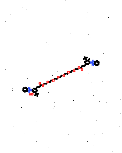 Cc1c(-n2nc3ccccc3n2)cc(CCC(=O)OCCOCCOCCOCCOCCOCCOCCOC(=O)CCc2cc(-n3nc4ccccc4n3)c(O)c(C(C)(C)C)c2)cc1C(C)(C)C